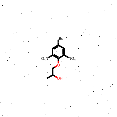 CC(O)COc1c([N+](=O)[O-])cc(C(C)(C)C)cc1[N+](=O)[O-]